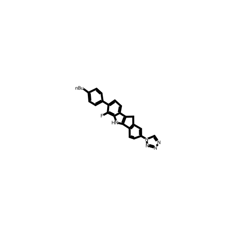 CCCCc1ccc(-c2ccc3c4c([nH]c3c2F)-c2ccc(-n3cnnn3)cc2C4)cc1